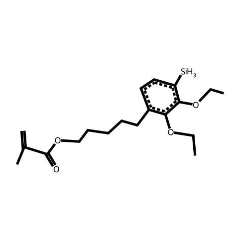 C=C(C)C(=O)OCCCCCc1ccc([SiH3])c(OCC)c1OCC